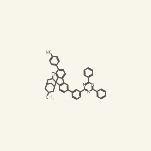 CC1CC2CC(C)C3(c4ccc(-c5cccc(-c6nc(-c7ccccc7)nc(-c7ccccc7)n6)c5)cc4-c4ccc(-c5ccc(C#N)cc5)cc43)C(C1)C2